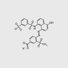 CS(=O)(=O)c1cc([N+](=O)[O-])ccc1N=Nc1ccc(O)c2cccc(NS(=O)(=O)c3cccc(S(=O)(=O)[O-])c3)c12.[K+]